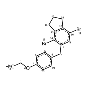 CCOc1ccc(Cc2cc(Br)c3c(c2Br)CCC3)cc1